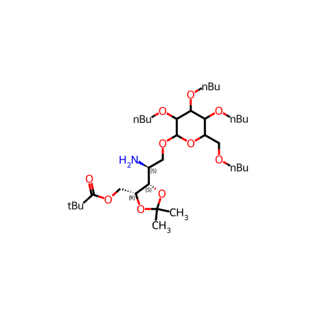 CCCCOCC1OC(OC[C@H](N)[C@@H]2OC(C)(C)O[C@@H]2COC(=O)C(C)(C)C)C(OCCCC)C(OCCCC)C1OCCCC